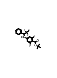 CC(C)(C)OC(=O)c1c(F)cc(NC(c2ccccc2)C(F)(F)F)cc1F